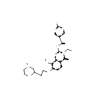 CCn1c(NC(=O)c2cnc(N)nc2)nc2c(OC)c(OCCC3CN(C)CCO3)ccc2c1=O